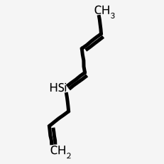 C=CC[SiH]=CC=CC